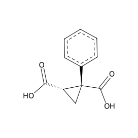 O=C(O)[C@H]1C[C@]1(C(=O)O)c1ccccc1